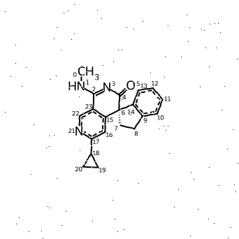 CNC1=NC(=O)[C@]2(CCc3ccccc32)c2cc(C3CC3)ncc21